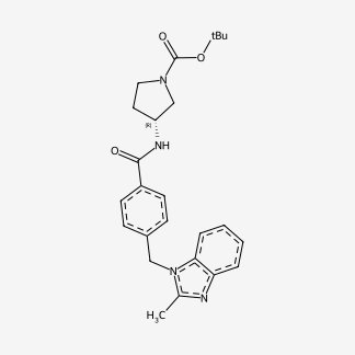 Cc1nc2ccccc2n1Cc1ccc(C(=O)N[C@@H]2CCN(C(=O)OC(C)(C)C)C2)cc1